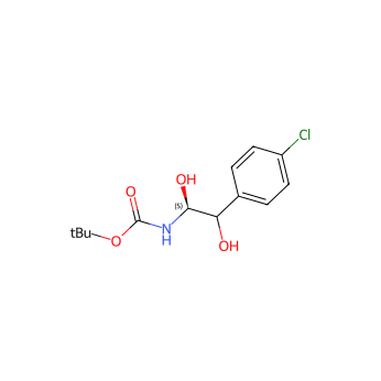 CC(C)(C)OC(=O)N[C@@H](O)C(O)c1ccc(Cl)cc1